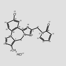 Cc1ncn2c1Cn1nc(Cn3ccccc3=O)nc1-c1cc(Cl)ccc1-2.Cl